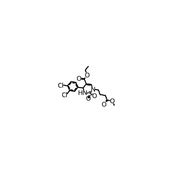 CCOC(=O)C1=CN(CCCC(=O)OC)S(=O)(=O)NC1c1ccc(Cl)c(Cl)c1